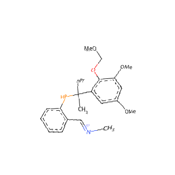 CCCC(C)(Pc1ccccc1/C=N/C)c1cc(OC)cc(OC)c1OCOC